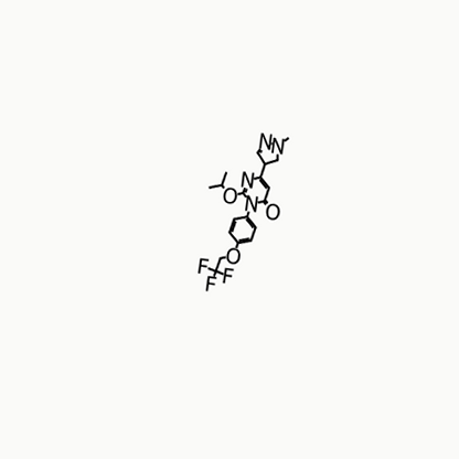 CC(C)Oc1nc(C2C=NN(C)C2)cc(=O)n1-c1ccc(OCC(F)(F)F)cc1